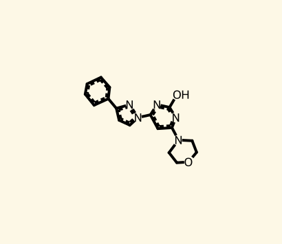 Oc1nc(N2CCOCC2)cc(-n2ccc(-c3ccccc3)n2)n1